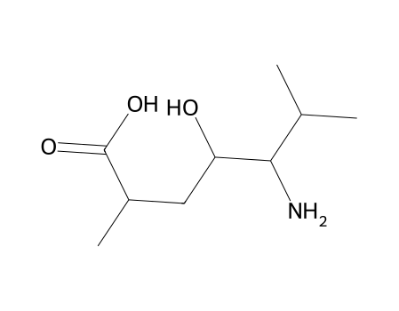 CC(CC(O)C(N)C(C)C)C(=O)O